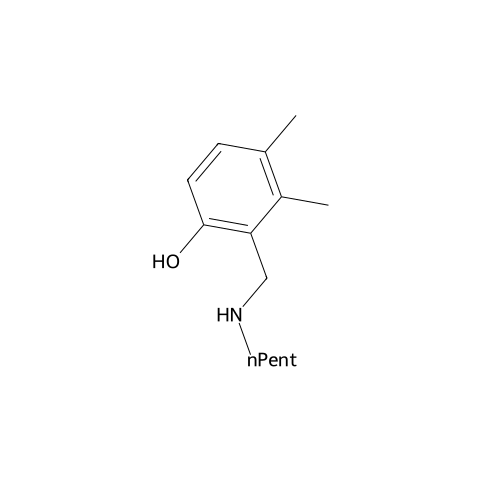 CCCCCNCc1c(O)ccc(C)c1C